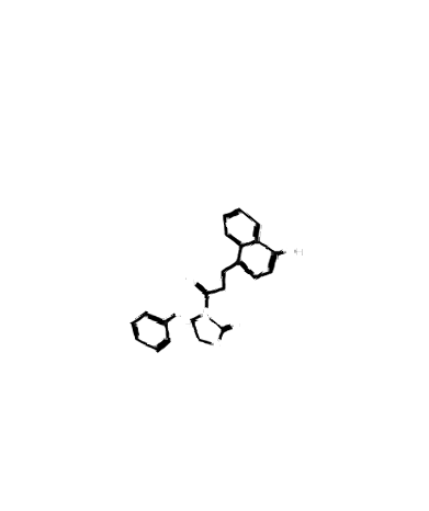 O=C(CCc1ccc(O)c2ccccc12)N1C(=O)OC[C@@H]1Cc1ccccc1